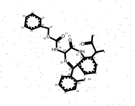 CC(=O)C(C)c1cccc2c1NC(=O)C(NC(=O)OCc1ccccc1)N=C2c1ccccc1F